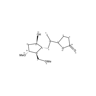 COC[C@@H]1[C@@H](CC(I)C2CCC(=O)O2)[C@H](O)C[C@H]1OC